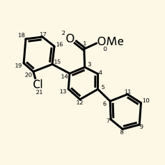 COC(=O)c1cc(-c2ccccc2)ccc1-c1ccccc1Cl